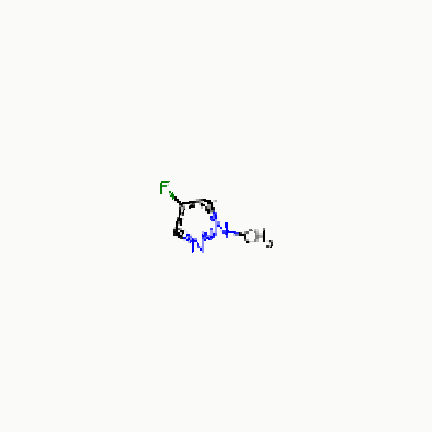 Cn1[c]c(F)cn1